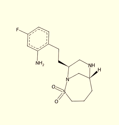 Nc1cc(F)ccc1CC[C@H]1CN[C@@H]2CCCS(=O)(=O)N1C2